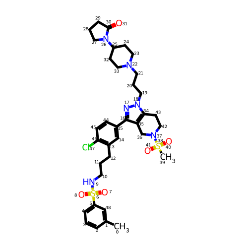 Cc1cccc(S(=O)(=O)NCCCc2cc(-c3nn(CCCN4CCC(N5CCCC5=O)CC4)c4c3CN(S(C)(=O)=O)CC4)ccc2Cl)c1